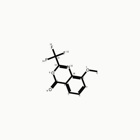 COc1cccc2c(=O)oc(C(F)(F)F)nc12